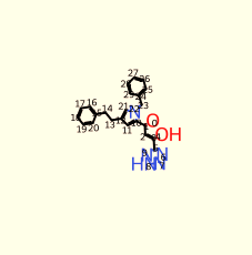 O=C(C=C(O)c1nn[nH]n1)c1cc(CCc2ccccc2)cn1Cc1ccccc1